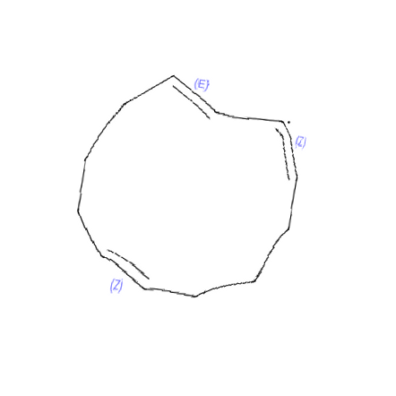 [C]1=C\CCC/C=C\CCC/C=C/1